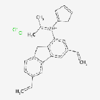 C=Cc1ccc2c(c1)-c1cc(C=C)c[c]([Zr+2]([C]3=CC=CC3)=[C](C)C)c1C2.[Cl-].[Cl-]